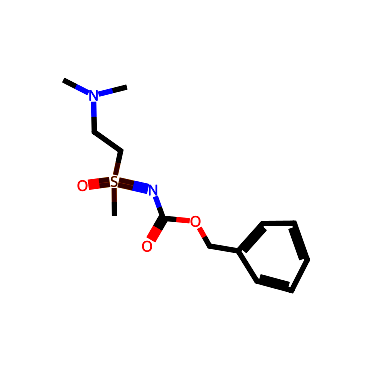 CN(C)CCS(C)(=O)=NC(=O)OCc1ccccc1